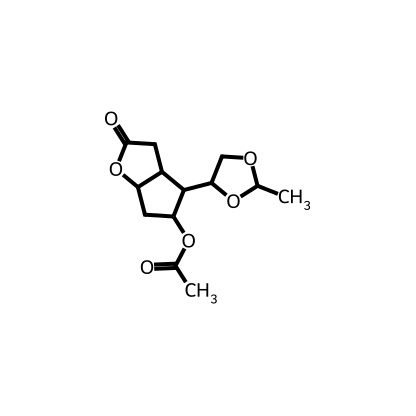 CC(=O)OC1CC2OC(=O)CC2C1C1COC(C)O1